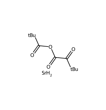 CC(C)(C)C(=O)OC(=O)C(=O)C(C)(C)C.[SrH2]